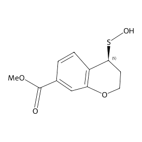 COC(=O)c1ccc2c(c1)OCC[C@@H]2SO